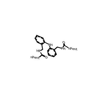 CCCCCC(=O)PCc1ccccc1Nc1ccccc1CPC(=O)CCCCC